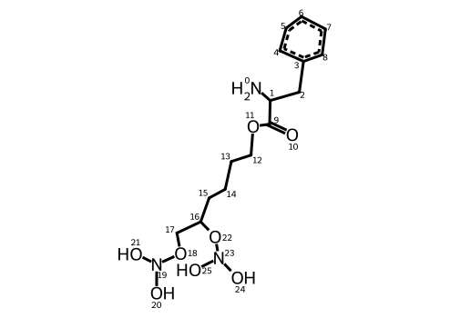 NC(Cc1ccccc1)C(=O)OCCCCC(CON(O)O)ON(O)O